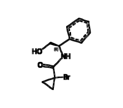 O=C(N[C@@H](CO)c1ccccc1)C1(Br)CC1